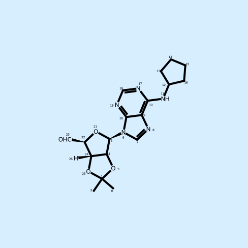 CC1(C)OC2[C@H](n3cnc4c(NC5CCCC5)ncnc43)O[C@H](C=O)[C@H]2O1